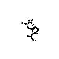 CC(n1nccc1CN(C(C)(C)C)S(C)(=O)=O)C(C)(C)C